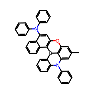 Cc1cc2c3c(c1)N(c1ccccc1)c1ccccc1B3c1c(cc(N(c3ccccc3)c3ccccc3)c3ccccc13)O2